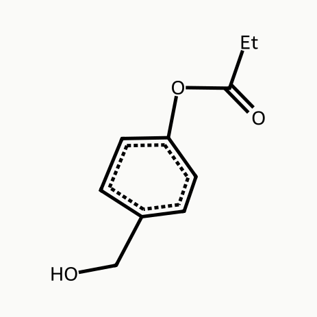 CCC(=O)Oc1ccc(CO)cc1